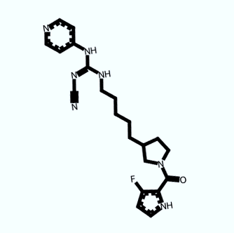 N#CN=C(NCCCCCC1CCN(C(=O)c2[nH]ccc2F)C1)Nc1ccncc1